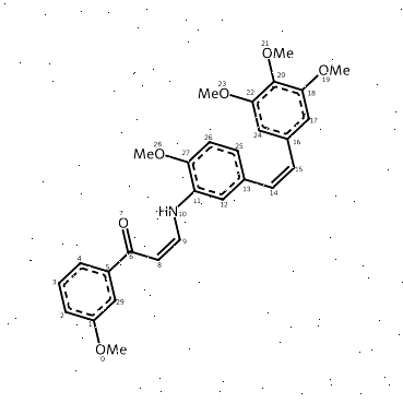 COc1cccc(C(=O)/C=C\Nc2cc(/C=C\c3cc(OC)c(OC)c(OC)c3)ccc2OC)c1